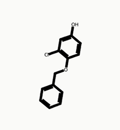 Oc1ccc(OCc2ccccc2)c(Cl)c1